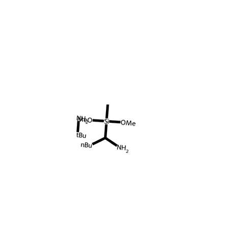 CC(C)(C)N.CCCCC(N)[Si](C)(OC)OC